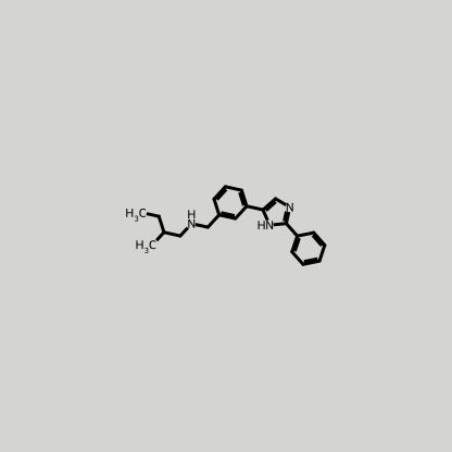 CCC(C)CNCc1cccc(-c2cnc(-c3ccccc3)[nH]2)c1